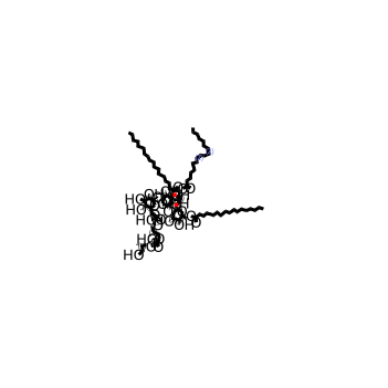 CCCCCC/C=C\C/C=C\CCCCCCC(=O)OC[C@H](CO[C@@H]1OC(COC(=O)CCCCCCCCCCCCCCCC)[C@@H](O)[C@H](O)C1O[C@@H]1OC(O[C@H]2OC(COP(=O)(O)OC[C@@H](C)COP(=O)(O)OC[C@@H](C)CO)[C@H](O)C(O)[C@H]2O)[C@H](O)C(O)[C@H]1O)OC(=O)CCCCCCCCCCCCCCCCC